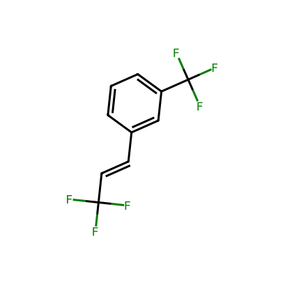 FC(F)(F)C=Cc1cccc(C(F)(F)F)c1